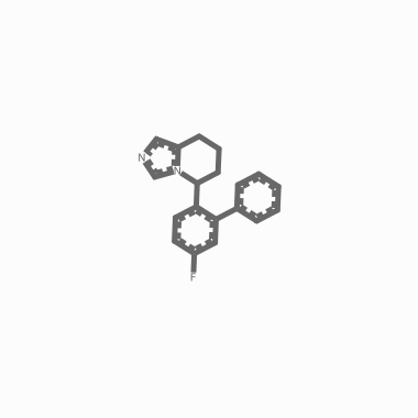 Fc1ccc(C2CCCc3cncn32)c(-c2ccccc2)c1